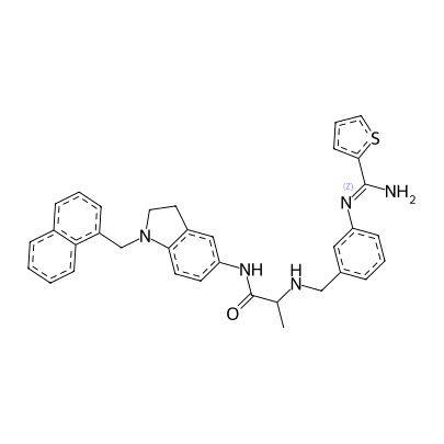 CC(NCc1cccc(/N=C(\N)c2cccs2)c1)C(=O)Nc1ccc2c(c1)CCN2Cc1cccc2ccccc12